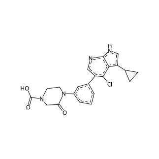 O=C(O)N1CCN(c2cccc(-c3cnc4[nH]cc(C5CC5)c4c3Cl)c2)C(=O)C1